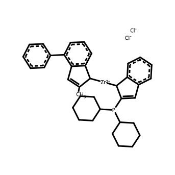 CC1=Cc2c(-c3ccccc3)cccc2[CH]1[Zr+2][CH]1C(P(C2CCCCC2)C2CCCCC2)=Cc2ccccc21.[Cl-].[Cl-]